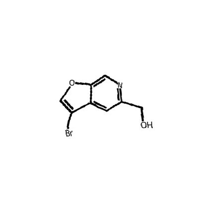 OCc1cc2c(Br)coc2cn1